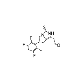 O=CCc1[nH]c(=S)n2c1CC(c1c(F)c(F)cc(F)c1F)C2